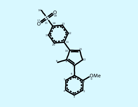 COc1ccccc1C1=C(C)C(c2ccc(S(C)(=O)=O)cc2)=CC1